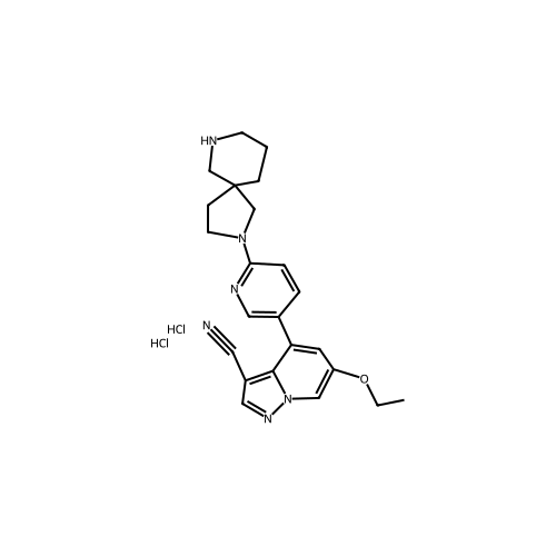 CCOc1cc(-c2ccc(N3CCC4(CCCNC4)C3)nc2)c2c(C#N)cnn2c1.Cl.Cl